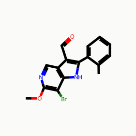 COc1ncc2c(C=O)c(-c3ccccc3C)[nH]c2c1Br